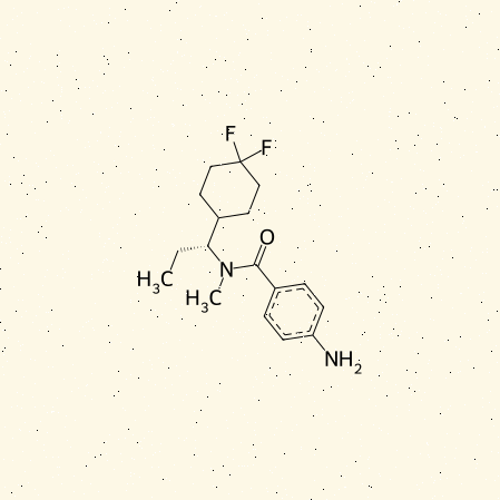 CC[C@H](C1CCC(F)(F)CC1)N(C)C(=O)c1ccc(N)cc1